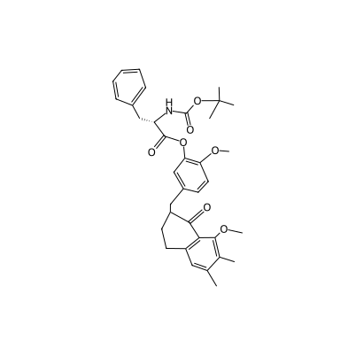 COc1ccc(CC2CCc3cc(C)c(C)c(OC)c3C2=O)cc1OC(=O)[C@H](Cc1ccccc1)NC(=O)OC(C)(C)C